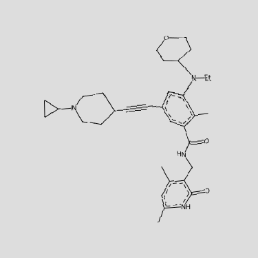 CCN(c1cc(C#CC2CCN(C3CC3)CC2)cc(C(=O)NCc2c(C)cc(C)[nH]c2=O)c1C)C1CCOCC1